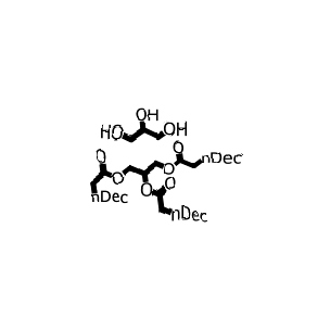 CCCCCCCCCCCC(=O)OCC(COC(=O)CCCCCCCCCCC)OC(=O)CCCCCCCCCCC.OCC(O)CO